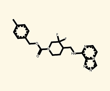 Cc1ccc(COC(=O)N2CCC(CNc3nccn4cnnc34)C(F)(F)C2)cc1